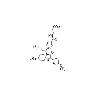 CC(C)(C)CCC(c1ccc(C(=O)NCCC(=O)O)cc1)N1C(=O)C(c2ccc(OC(F)(F)F)cc2)=NC12CCC(C(C)(C)C)CC2